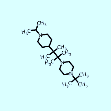 CC(C)N1CCC(C(C)(C)C(C)(C)N2CCN(C(C)(C)C)CC2)CC1